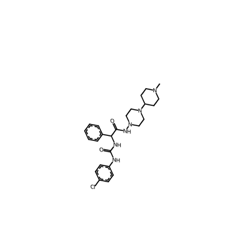 CN1CCC(N2CCN(NC(=O)C(NC(=O)Nc3ccc(Cl)cc3)c3ccccc3)CC2)CC1